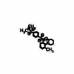 Cc1cccc(NS(=O)(=O)c2ccc(S(=O)(=O)N(C)C)cc2)c1N1CCCCC1=O